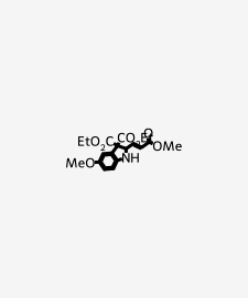 CCOC(=O)C1(C(=O)OCC)c2cc(OC)ccc2NC1C=CC(=O)OC